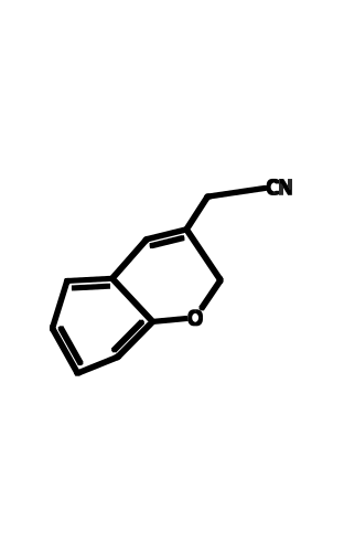 N#CCC1=Cc2ccccc2OC1